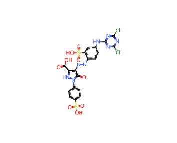 O=C(O)c1[nH]n(-c2ccc(S(=O)(=O)O)cc2)c(=O)c1N=Nc1ccc(Nc2nc(Cl)nc(Cl)n2)cc1S(=O)(=O)O